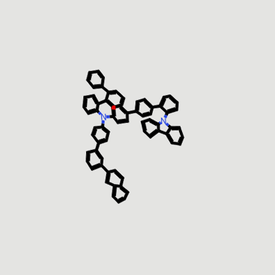 c1ccc(-c2ccccc2-c2ccccc2N(c2ccc(-c3ccc(-c4ccccc4-n4c5ccccc5c5ccccc54)cc3)cc2)c2ccc(-c3cccc(-c4ccc5ccccc5c4)c3)cc2)cc1